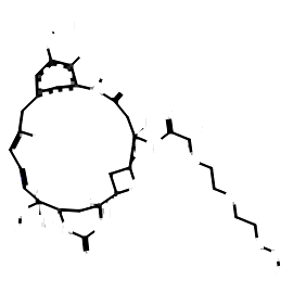 COc1cc2cc(c1Cl)N(C)C(=O)C[C@H](OC(=O)[C@H](C)OCCOCCSSC)[C@@]1(C)CC(C)(O1)[C@@H]1C[C@@](O)(NC(=O)O1)[C@H](OC)/C=C/C=C(\C)C2